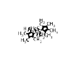 CC1=C(C)C([Si](C)(C)[Si](C)(C)C2C(C)=C(C)C(C)=C2C)C(C)=C1C